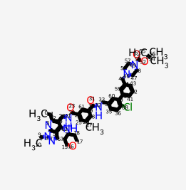 CCc1nc2c(cnn2CC)c(NC2CCOCC2)c1CNC(=O)c1cc(C)cc(C(=O)NCc2ccc(Cl)c(-c3cccc(CN4CCN(C(=O)OC(C)(C)C)CC4)c3)c2)c1